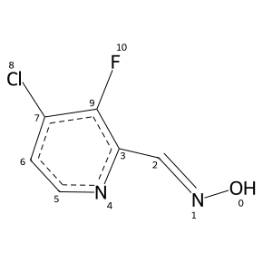 ON=Cc1nccc(Cl)c1F